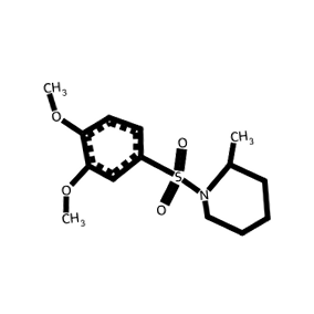 COc1ccc(S(=O)(=O)N2CCCC[C]2C)cc1OC